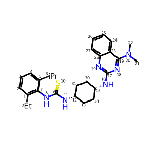 CCc1cccc(C(C)C)c1NC(=S)N[C@H]1CC[C@@H](Nc2nc(N(C)C)c3ccccc3n2)CC1